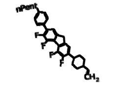 C=CC1CCC(c2cc3c(c(F)c2F)-c2c(cc(-c4ccc(CCCCC)cc4)c(F)c2F)C3)CC1